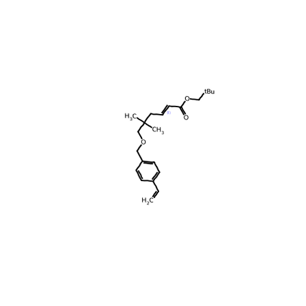 C=Cc1ccc(COCC(C)(C)C/C=C/C(=O)OCC(C)(C)C)cc1